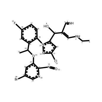 CCN/C=C(\C=N)C(O)c1cc(Cl)nn1-c1ccc(F)cc1C(C)Oc1cc(Br)cnc1N=O